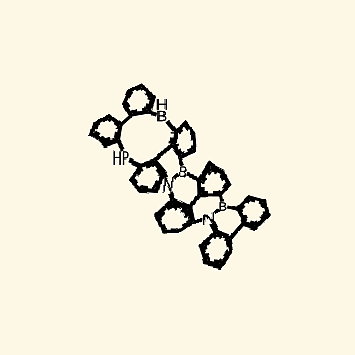 B1c2ccccc2-c2ccccc2Pc2cccc3c2-c2c1cccc2B1c2cccc4c2-c2c(cccc2N13)N1B4c2ccccc2-c2ccccc21